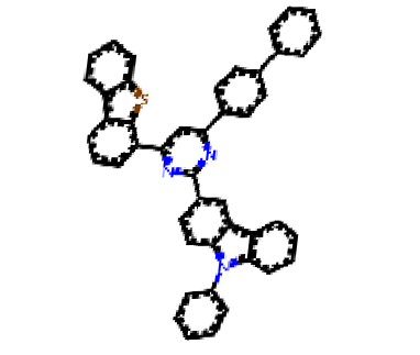 c1ccc(-c2ccc(-c3cc(-c4cccc5c4sc4ccccc45)nc(-c4ccc5c(c4)c4ccccc4n5-c4ccccc4)n3)cc2)cc1